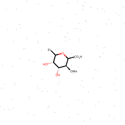 CCC1OC(C(=O)O)[C@@H](OC)[C@H](O)[C@@H]1O